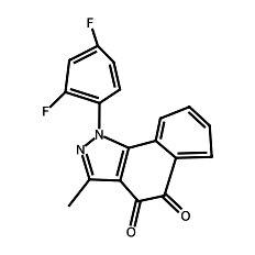 Cc1nn(-c2ccc(F)cc2F)c2c1C(=O)C(=O)c1ccccc1-2